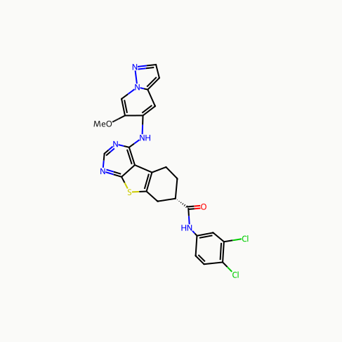 COc1cn2nccc2cc1Nc1ncnc2sc3c(c12)CC[C@H](C(=O)Nc1ccc(Cl)c(Cl)c1)C3